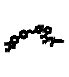 CCc1nc2cc(-c3ccc(CCc4c[nH]c([C@@H]5CCCN5C(=O)[C@@H](NC(=O)OC)C(C)C)n4)cc3)ccc2[nH]1